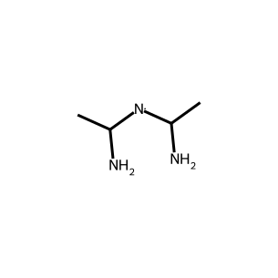 CC(N)[N]C(C)N